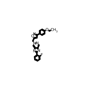 CCOc1ccc(-c2cc(Cn3cc4nc(-c5ccccc5F)nc-4cn3)on2)cc1